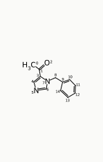 CC(=O)c1cncn1Cc1ccccc1